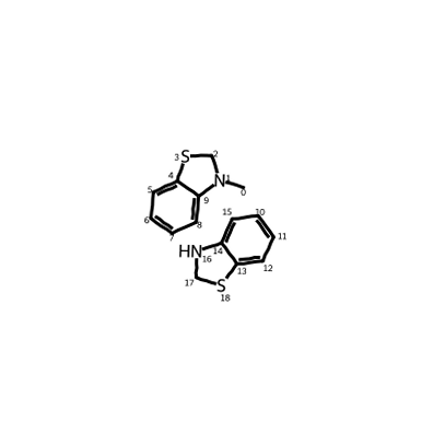 CN1CSc2ccccc21.c1ccc2c(c1)NCS2